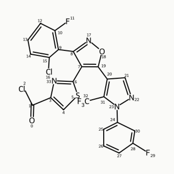 O=C(Cl)c1csc(-c2c(-c3c(F)cccc3Cl)noc2-c2cnn(-c3cccc(F)c3)c2C(F)(F)F)n1